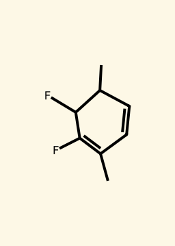 CC1=C(F)C(F)C(C)C=C1